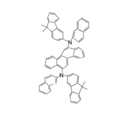 CC1(C)c2ccccc2-c2cc(N(c3ccc4ccccc4c3)c3cc4c5ccccc5c(N(c5ccc6c(c5)-c5ccccc5C6(C)C)c5ccc6ccccc6c5)cc4c4ccccc34)ccc21